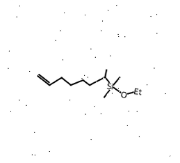 C=CCCCCC(C)[Si](C)(C)OCC